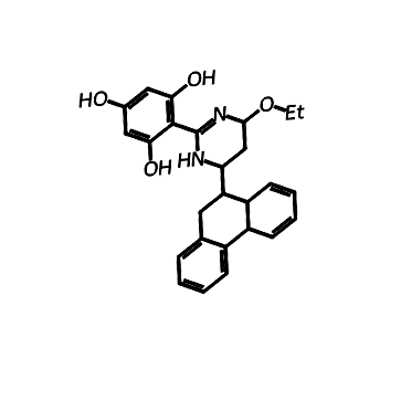 CCOC1CC(C2Cc3ccccc3C3C=CC=CC32)NC(c2c(O)cc(O)cc2O)=N1